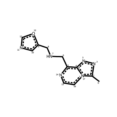 Cc1nnc2c(CNCc3cnco3)nccn12